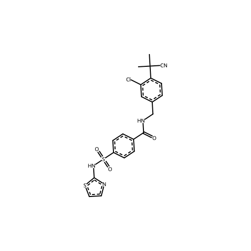 CC(C)(C#N)c1ccc(CNC(=O)c2ccc(S(=O)(=O)Nc3nccs3)cc2)cc1Cl